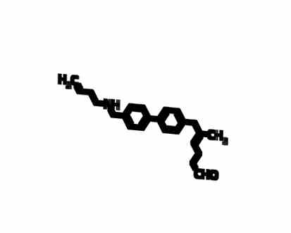 C=CCCNCc1ccc(-c2ccc(CC(C)=CCCC=O)cc2)cc1